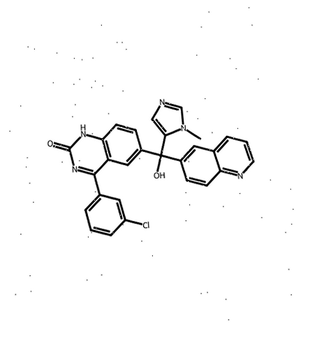 Cn1cncc1C(O)(c1ccc2ncccc2c1)c1ccc2[nH]c(=O)nc(-c3cccc(Cl)c3)c2c1